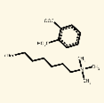 CCCCCCCCCCCCCCCC[N+](C)(C)C.O=C([O-])c1ccccc1C(=O)O